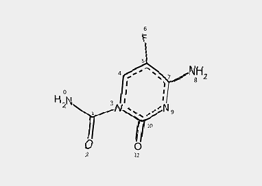 NC(=O)n1cc(F)c(N)nc1=O